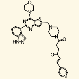 O=C(C=Cc1ccncc1)CCC(=O)N1CCN(Cc2cc3nc(-c4cccc5[nH]ncc45)nc(N4CCOCC4)c3s2)CC1